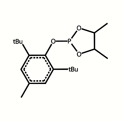 Cc1cc(C(C)(C)C)c(OP2OC(C)C(C)O2)c(C(C)(C)C)c1